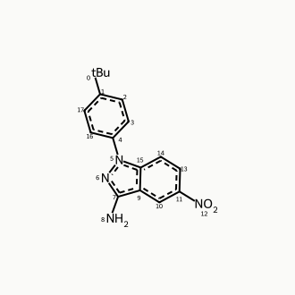 CC(C)(C)c1ccc(-n2nc(N)c3cc([N+](=O)[O-])ccc32)cc1